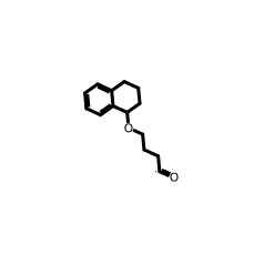 O=[C]CCCOC1CCCc2ccccc21